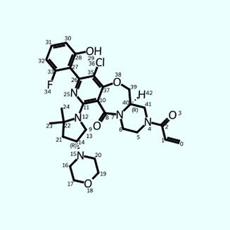 C=CC(=O)N1CCN2C(=O)c3c(N4C[C@H](N5CCOCC5)CC4(C)C)nc(-c4c(O)cccc4F)c(Cl)c3OC[C@H]2C1